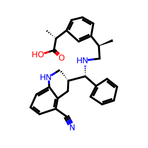 C[C@@H](CN[C@H](c1ccccc1)[C@H]1CNc2cccc(C#N)c2C1)c1cccc([C@@H](C)C(=O)O)c1